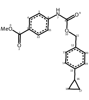 COC(=O)c1ccc(NC(=O)OCc2ccc(C3CC3)cc2)cc1